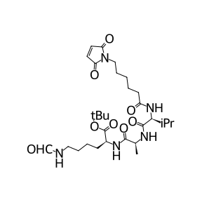 CC(C)[C@H](NC(=O)CCCCCN1C(=O)C=CC1=O)C(=O)N[C@@H](C)C(=O)N[C@@H](CCCCNC=O)C(=O)OC(C)(C)C